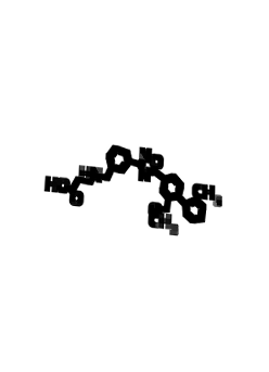 COCc1cc(-c2nc(-c3cccc(CNCCC(=O)O)c3)no2)ccc1-c1ccccc1C